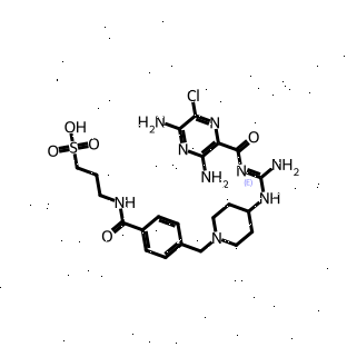 N/C(=N\C(=O)c1nc(Cl)c(N)nc1N)NC1CCN(Cc2ccc(C(=O)NCCCS(=O)(=O)O)cc2)CC1